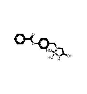 O=C(Oc1ccc(CN2CC(O)NS2(O)O)cc1)c1ccccc1